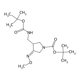 CON=C1CN(C(=O)OC(C)(C)C)CC1CNC(=O)OC(C)(C)C